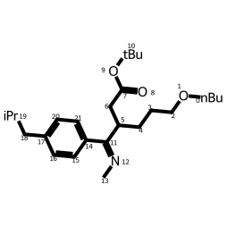 CCCCOCCCC(CC(=O)OC(C)(C)C)/C(=N/C)c1ccc(CC(C)C)cc1